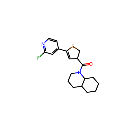 O=C(C1C=C(c2ccnc(F)c2)SC1)N1CCCC2CCCCC21